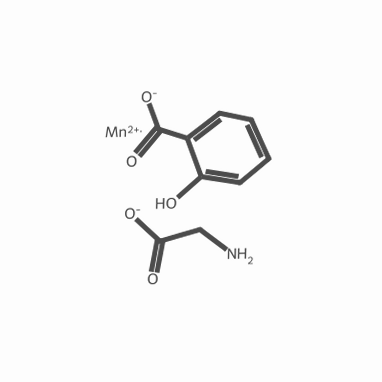 NCC(=O)[O-].O=C([O-])c1ccccc1O.[Mn+2]